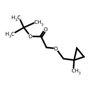 CC1(COCC(=O)OC(C)(C)C)CC1